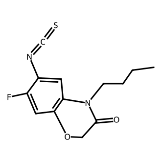 CCCCN1C(=O)COc2cc(F)c(N=C=S)cc21